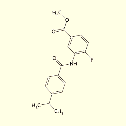 COC(=O)c1ccc(F)c(NC(=O)c2ccc(C(C)C)cc2)c1